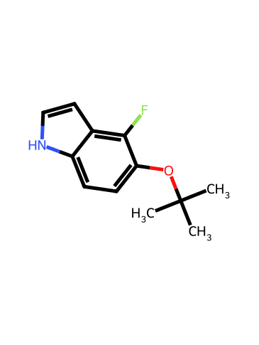 CC(C)(C)Oc1ccc2[nH]ccc2c1F